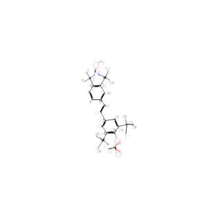 CON1C(C)(C)c2ccc(C=Cc3cc(C(C)(C)C)c(OC(C)=O)c(C(C)(C)C)c3)cc2C1(C)C